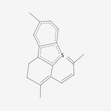 C=C(C)/C=C\C1=C(C)CCc2c1sc1ccc(C)cc21